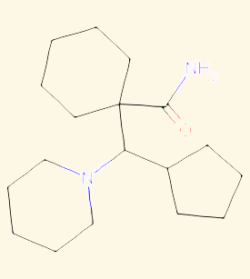 NC(=O)C1(C(C2CCCC2)N2CCCCC2)CCCCC1